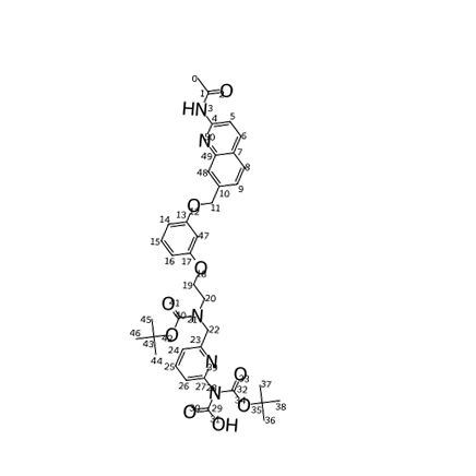 CC(=O)Nc1ccc2ccc(COc3cccc(OCCN(Cc4cccc(N(C(=O)O)C(=O)OC(C)(C)C)n4)C(=O)OC(C)(C)C)c3)cc2n1